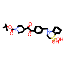 CC(C)(C)OC(=O)N1CCC(C(=O)C(=O)c2ccc(CN3CCS(O)(O)c4ccccc43)cc2)CC1